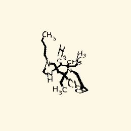 CCCCN1CNC2(C1)CC(C)(CC)N(CC1CO1)C(C)(CC)C2C